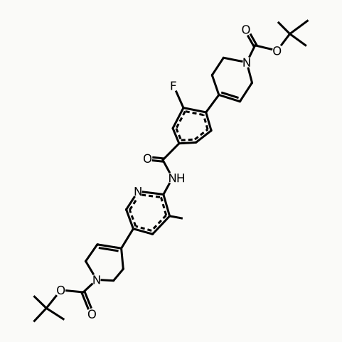 Cc1cc(C2=CCN(C(=O)OC(C)(C)C)CC2)cnc1NC(=O)c1ccc(C2=CCN(C(=O)OC(C)(C)C)CC2)c(F)c1